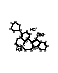 Cl.N[N@+]12C=CCc3c(C4CCCCC4)ccc(c31)-c1c(C(=O)[O-])c3c(n1CC2)CCC=C3